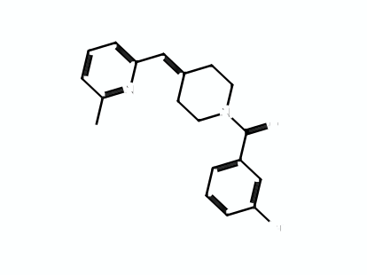 Cc1cccc(C=C2CCN(C(=O)c3cccc(Br)c3)CC2)n1